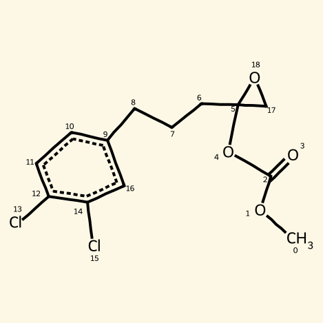 COC(=O)OC1(CCCc2ccc(Cl)c(Cl)c2)CO1